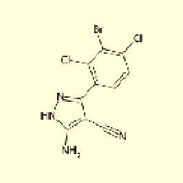 N#Cc1c(-c2ccc(Cl)c(Br)c2Cl)n[nH]c1N